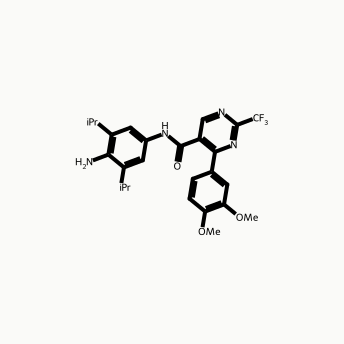 COc1ccc(-c2nc(C(F)(F)F)ncc2C(=O)Nc2cc(C(C)C)c(N)c(C(C)C)c2)cc1OC